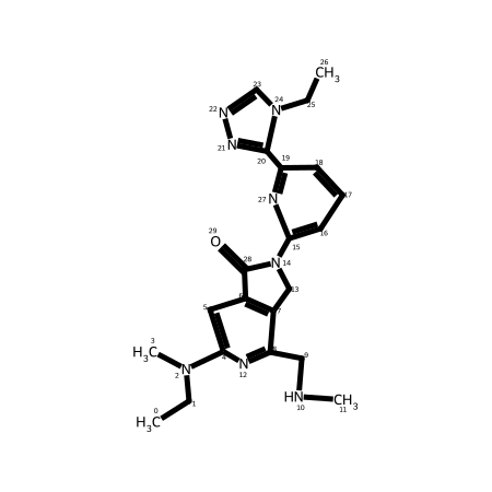 CCN(C)c1cc2c(c(CNC)n1)CN(c1cccc(-c3nncn3CC)n1)C2=O